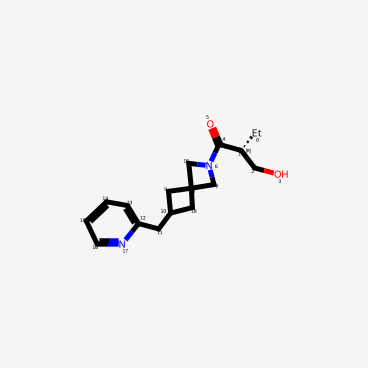 CC[C@H](CO)C(=O)N1CC2(CC(Cc3ccccn3)C2)C1